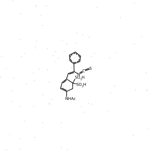 CC(=O)NC1=CC=C(C=C(N=C=S)c2ccccc2)C(S(=O)(=O)O)(S(=O)(=O)O)C1